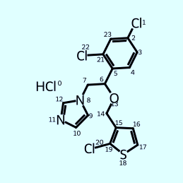 Cl.Clc1ccc(C(Cn2ccnc2)OCc2ccsc2Cl)c(Cl)c1